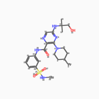 CC(C)C1CCN(c2nc(NC(C)(C)CO)cnc2C(=O)Nc2cccc(S(=O)(=O)NC(C)(C)C)c2)CC1